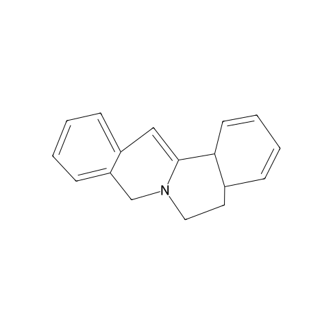 C1=CC2CCN3Cc4ccccc4C=C3C2C=C1